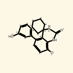 O=C1Nc2c(Cl)ccc(-c3cccc(O)c3)c2C2(CCCCC2)N1